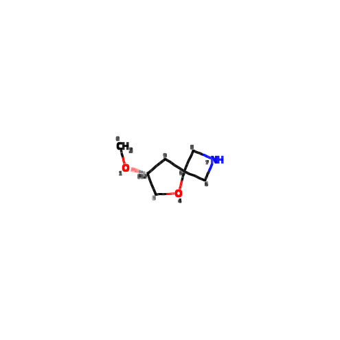 CO[C@H]1COC2(CNC2)C1